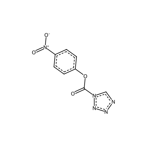 O=C(Oc1ccc([N+](=O)[O-])cc1)n1cnnn1